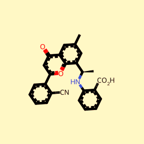 Cc1cc([C@@H](C)Nc2ccccc2C(=O)O)c2oc(-c3ccccc3C#N)cc(=O)c2c1